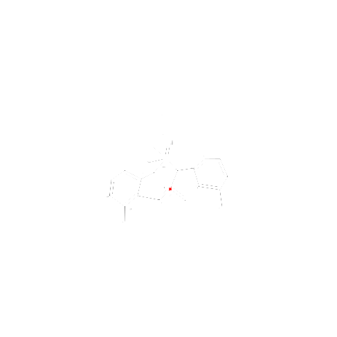 Cc1cccc2c1C=C[CH]2[Zr]([CH3])([CH3])(=[SiH2])[CH]1C=Cc2c(C)cccc21.Cl.Cl